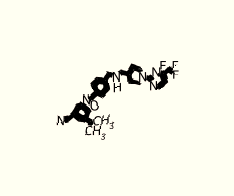 CC(C)c1cc(C#N)cc2nc(-c3ccc(CNCC4CCN(c5nccc(C(F)(F)F)n5)CC4)cc3)oc12